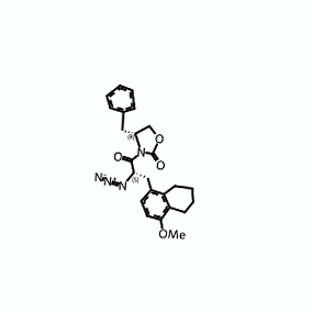 COc1ccc(C[C@H](N=[N+]=[N-])C(=O)N2C(=O)OC[C@H]2Cc2ccccc2)c2c1CCCC2